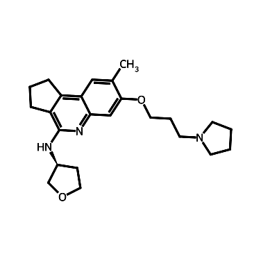 Cc1cc2c3c(c(N[C@H]4CCOC4)nc2cc1OCCCN1CCCC1)CCC3